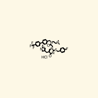 CN(C)CCN(Cc1ccc(-c2ccc(C(F)(F)F)cc2)cc1)C(=O)Cn1cc(Cc2cnn(C)c2)c(=O)nc1SCc1ccc(F)cc1.Cl